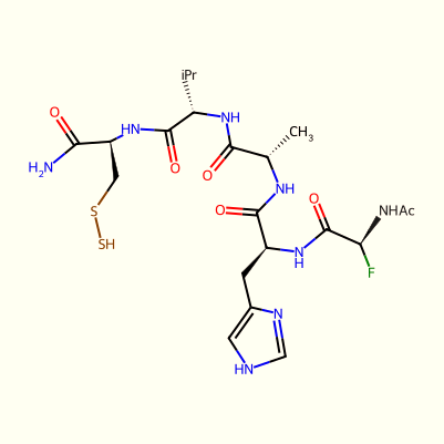 CC(=O)N[C@@H](F)C(=O)N[C@@H](Cc1c[nH]cn1)C(=O)N[C@@H](C)C(=O)N[C@H](C(=O)N[C@@H](CSS)C(N)=O)C(C)C